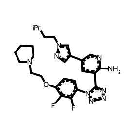 CC(C)CCn1cc(-c2cnc(N)c(-c3nnnn3-c3ccc(OCCN4CCCCC4)c(F)c3F)c2)cn1